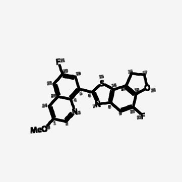 COc1cnc2c(-c3nc4cc(F)c5c(c4s3)CCO5)cc(F)cc2c1